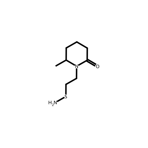 CC1CCCC(=O)N1CCSN